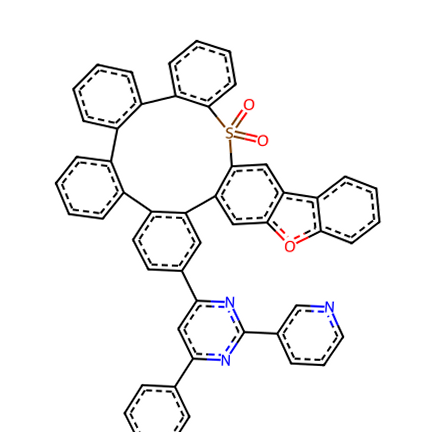 O=S1(=O)c2ccccc2-c2ccccc2-c2ccccc2-c2ccc(-c3cc(-c4ccccc4)nc(-c4cccnc4)n3)cc2-c2cc3oc4ccccc4c3cc21